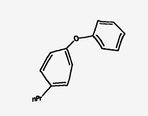 [CH2]CCc1ccc(Oc2ccccc2)cc1